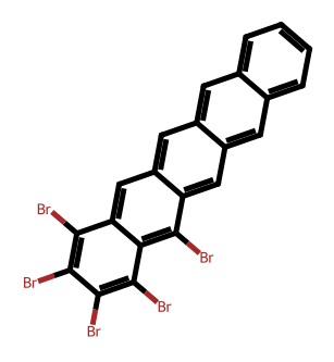 Brc1c(Br)c(Br)c2c(Br)c3cc4cc5ccccc5cc4cc3cc2c1Br